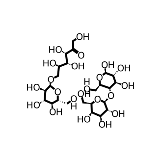 O=C(CO)[C@@H](O)[C@H](O)[C@H](O)CO[C@H]1O[C@H](CO)[C@@H](O)[C@H](O)[C@H]1O.OC[C@H]1O[C@@H](O[C@H]2[C@H](O)[C@@H](O)[C@H](O)O[C@@H]2CO)[C@H](O)[C@@H](O)[C@H]1O